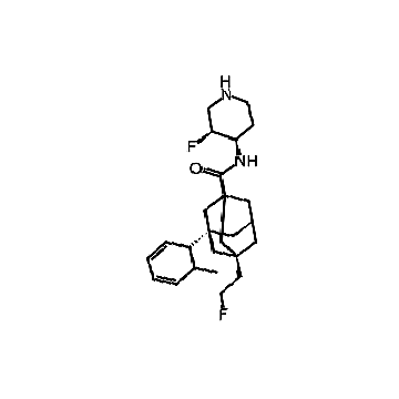 CC1C=CC=CC1[C@]12CC3CC(C(=O)N[C@@H]4CCNC[C@@H]4F)(C[C@](CCF)(C3)C1)C2